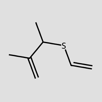 C=CSC(C)C(=C)C